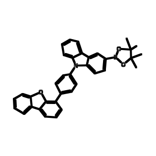 CC1(C)OB(c2ccc3c(c2)c2ccccc2n3-c2ccc(-c3cccc4c3oc3ccccc34)cc2)OC1(C)C